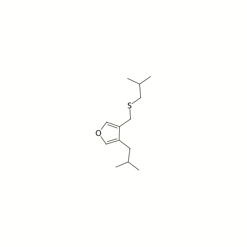 CC(C)CSCc1cocc1CC(C)C